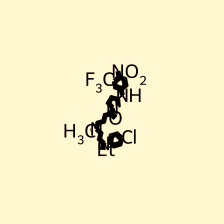 CCN(CCN(C)CCCC(=O)N1CC[C@@H](Nc2ccc([N+](=O)[O-])c(C(F)(F)F)c2)C1)c1ccc(Cl)cc1